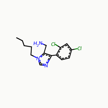 CCCCCn1cnc(-c2ccc(Cl)cc2Cl)c1CN